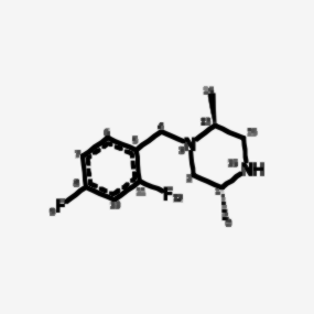 C[C@@H]1CN(Cc2ccc(F)cc2F)[C@@H](C)CN1